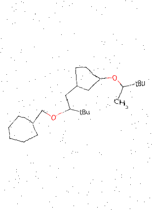 CC(OC1CCC(CC(OCC2CCCCC2)C(C)(C)C)C1)C(C)(C)C